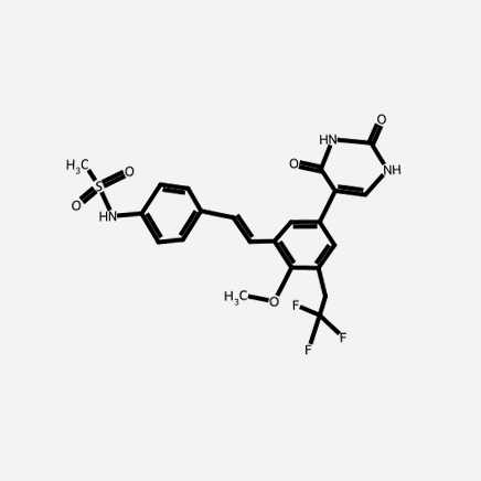 COc1c(C=Cc2ccc(NS(C)(=O)=O)cc2)cc(-c2c[nH]c(=O)[nH]c2=O)cc1CC(F)(F)F